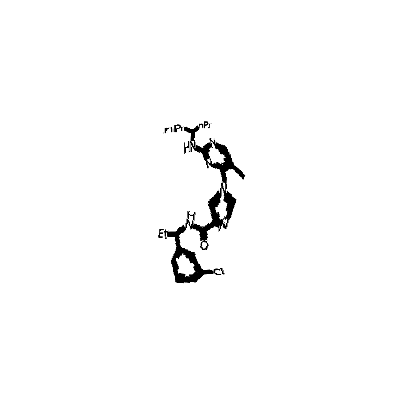 CCCC(CCC)Nc1ncc(C)c(-n2cnc(C(=O)NC(CC)c3cccc(Cl)c3)c2)n1